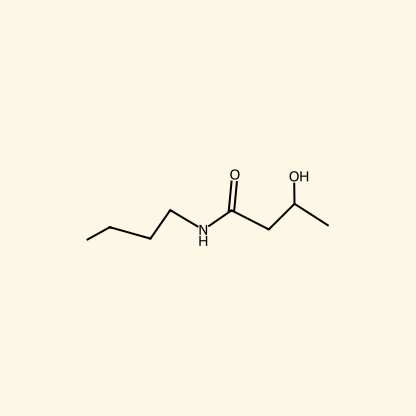 CCCCNC(=O)CC(C)O